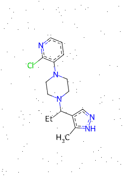 CCC(c1cn[nH]c1C)N1CCN(c2cccnc2Cl)CC1